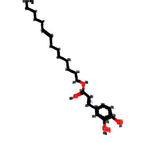 CCCCCCCCCCCCCCOC(=O)/C=C/c1ccc(O)c(O)c1